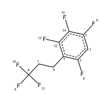 Fc1[c]c(F)c(CCC(F)(F)F)c(F)c1F